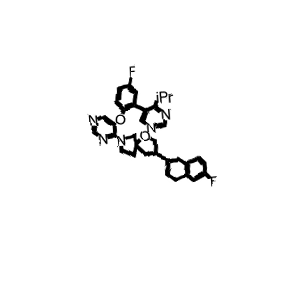 CC(C)c1ncncc1-c1cc(F)ccc1Oc1cncnc1N1CCC2(CC(C3CCc4cc(F)ccc4C3)CO2)C1